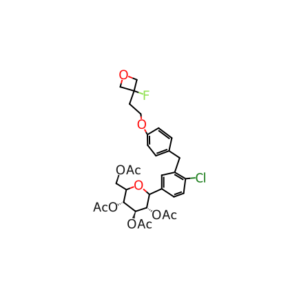 CC(=O)OCC1OC(c2ccc(Cl)c(Cc3ccc(OCCC4(F)COC4)cc3)c2)[C@H](OC(C)=O)[C@@H](OC(C)=O)[C@@H]1OC(C)=O